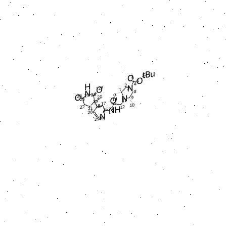 C[C@@H]1CN(C(=O)OC(C)(C)C)C[C@H](C)N1CC(=O)Nc1cc(C2(C)CCC(=O)NC2=O)ccn1